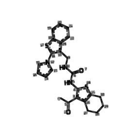 CC(=O)c1c(NC(=O)NCc2c(-n3cccc3)sc3ccccc23)sc2c1CCCC2